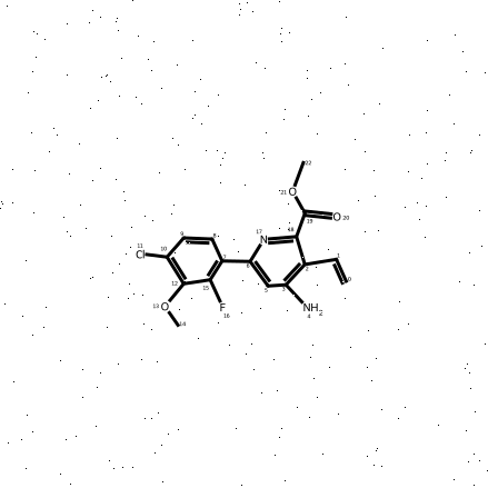 C=Cc1c(N)cc(-c2ccc(Cl)c(OC)c2F)nc1C(=O)OC